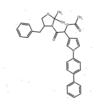 CC(=O)OC(C(=O)N1C(Cc2ccccc2)COC1(C)C)c1ccn(-c2ccc(-c3ccccc3)cc2)c1